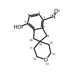 O=Nc1ccc(O)c2c1CC1(CCOCC1)C2